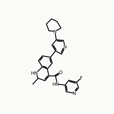 CC1C=C(C(=O)Nc2cncc(F)c2)c2cc(-c3cncc(N4CCCCC4)c3)ccc2N1